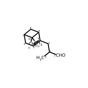 CC(C=O)CC1=CCC2CC1C2(C)C